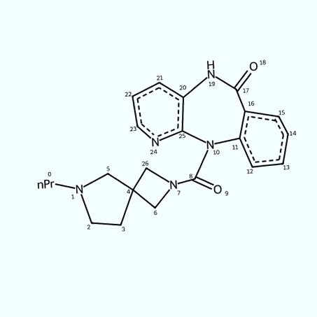 CCCN1CCC2(C1)CN(C(=O)N1c3ccccc3C(=O)Nc3cccnc31)C2